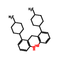 CC1CCC(c2cccc(O)c2Cc2c(O)cccc2C2CCC(C)CC2)CC1